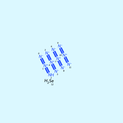 [N-]=[N+]=N.[N-]=[N+]=[N-].[N-]=[N+]=[N-].[N-]=[N+]=[N-].[SeH2]